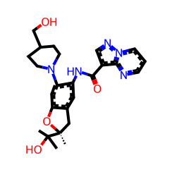 CC(C)(O)[C@]1(C)Cc2cc(NC(=O)c3cnn4cccnc34)c(N3CCC(CO)CC3)cc2O1